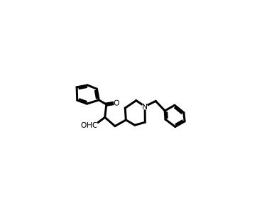 O=CC(CC1CCN(Cc2ccccc2)CC1)C(=O)c1ccccc1